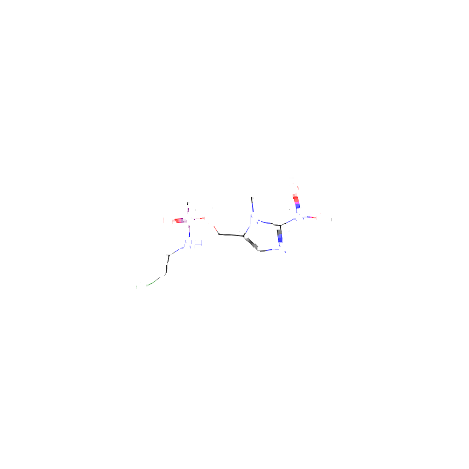 Cn1c(COP(C)(=O)NCCCl)cnc1[N+](=O)[O-]